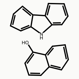 Oc1cccc2ccccc12.c1ccc2c(c1)[nH]c1ccccc12